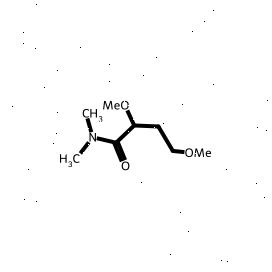 COCCC(OC)C(=O)N(C)C